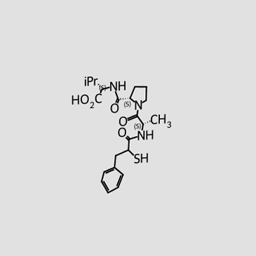 CC(C)[C@H](NC(=O)[C@@H]1CCCN1C(=O)[C@H](C)NC(=O)C(S)Cc1ccccc1)C(=O)O